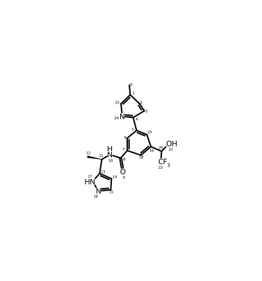 Cc1ccc(-c2cc(C(=O)N[C@H](C)c3ccn[nH]3)cc(C(O)C(F)(F)F)c2)nc1